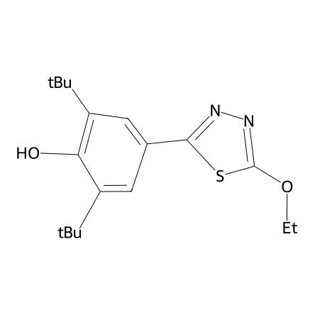 CCOc1nnc(-c2cc(C(C)(C)C)c(O)c(C(C)(C)C)c2)s1